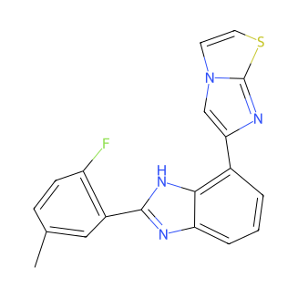 Cc1ccc(F)c(-c2nc3cccc(-c4cn5ccsc5n4)c3[nH]2)c1